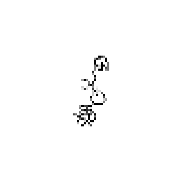 CC1(C)OB(C2=CCCN(C(=O)CCn3cccn3)C2)OC1(C)C